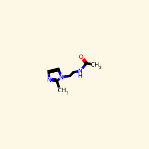 CC(=O)NCCn1ccnc1C